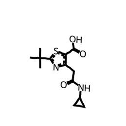 CC(C)(C)c1nc(CC(=O)NC2CC2)c(C(=O)O)s1